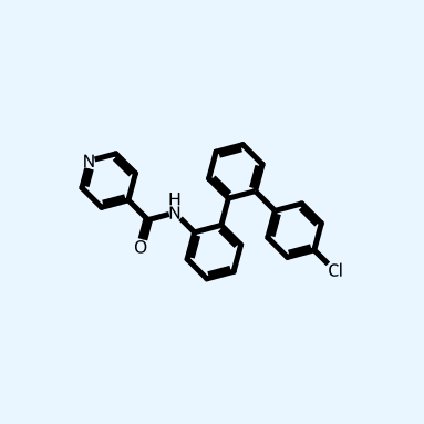 O=C(Nc1ccccc1-c1ccccc1-c1ccc(Cl)cc1)c1ccncc1